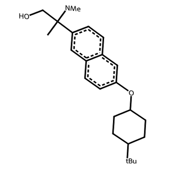 CNC(C)(CO)c1ccc2cc(OC3CCC(C(C)(C)C)CC3)ccc2c1